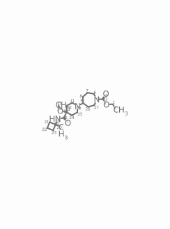 CCOC(=O)N1CCCC(N2CCC(OC)(C(=O)NC3(C)CCC3)CC2)CC1